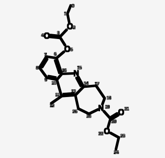 CCOC(=O)Oc1cccc2c(C)c3c(nc12)CCN(C(=O)OCC)CC3